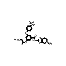 COCC(C)Oc1cc(Oc2ccc(S(C)(=O)=O)cc2)cc(C(=O)Nc2nc3c(s2)CN(C(C)C)CC3)c1